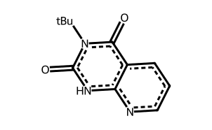 CC(C)(C)n1c(=O)[nH]c2ncccc2c1=O